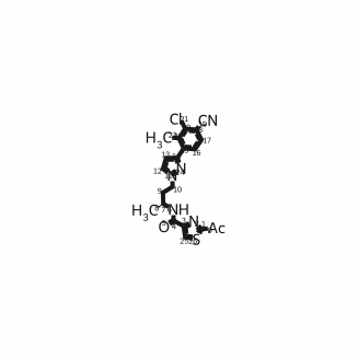 CC(=O)c1nc(C(=O)N[C@H](C)CCn2ccc(-c3ccc(C#N)c(Cl)c3C)n2)cs1